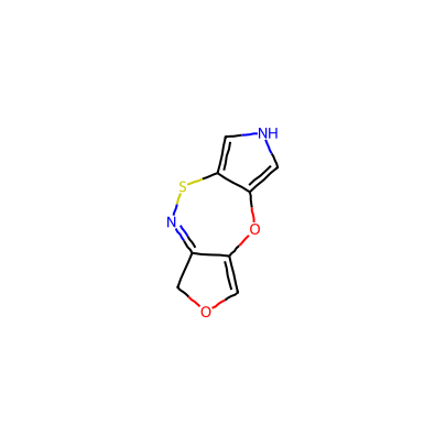 C1=C2Oc3c[nH]cc3SN=C2CO1